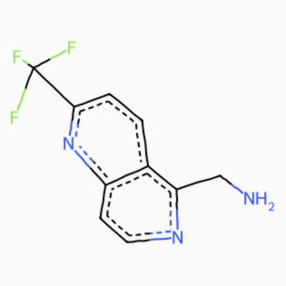 NCc1nccc2nc(C(F)(F)F)ccc12